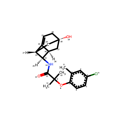 Cc1cc(Cl)ccc1OC(C)(C)C(=O)N[C@@H]1[C@@H]2C[C@]3(O)CC=C2[C@@H]1C3